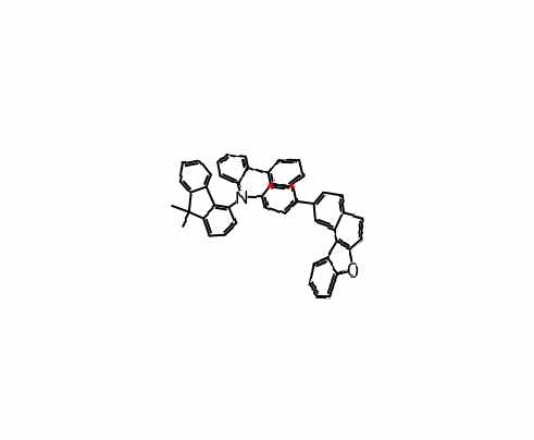 CC1(C)c2ccccc2-c2c(N(c3ccc(-c4ccc5ccc6oc7ccccc7c6c5c4)cc3)c3ccccc3-c3ccccc3)cccc21